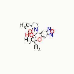 CC1CCCN(C2c3cc4nonc4cc3OC(C)(C)C2O)C1=O